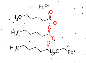 CCCCCC(=O)[O-].CCCCCC(=O)[O-].CCCCCC(=O)[O-].C[CH2][Pd+].[Pd+2]